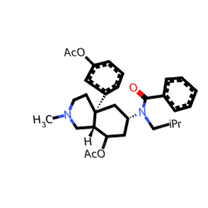 CC(=O)Oc1cccc([C@@]23CCN(C)C[C@H]2C(OC(C)=O)C[C@@H](N(CC(C)C)C(=O)c2ccccc2)C3)c1